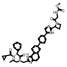 CCCN(Cc1nc2ccc3cc(-c4ccc(-c5cnc(C6CCN6C(=O)CNC(=O)OC)[nH]5)cc4)ccc3c2[nH]1)C(=O)[C@H](NC(=O)C1CC1)c1ccccc1